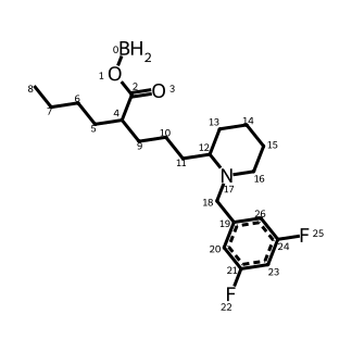 BOC(=O)C(CCCC)CCCC1CCCCN1Cc1cc(F)cc(F)c1